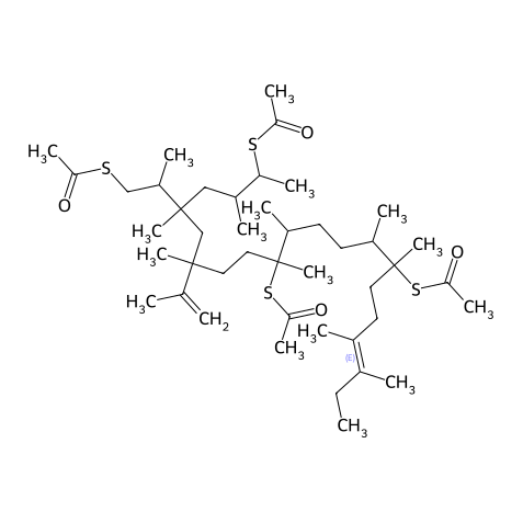 C=C(C)C(C)(CCC(C)(SC(C)=O)C(C)CCC(C)C(C)(CC/C(C)=C(\C)CC)SC(C)=O)CC(C)(CC(C)C(C)SC(C)=O)C(C)CSC(C)=O